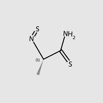 C[C@H](N=S)C(N)=S